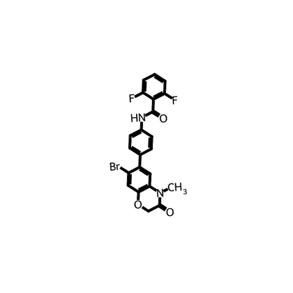 CN1C(=O)COc2cc(Br)c(-c3ccc(NC(=O)c4c(F)cccc4F)cc3)cc21